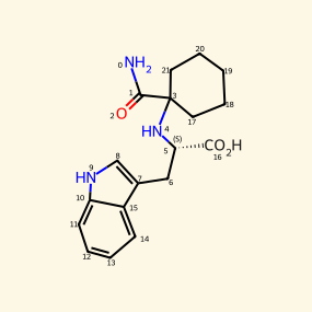 NC(=O)C1(N[C@@H](Cc2c[nH]c3ccccc23)C(=O)O)CCCCC1